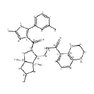 Cc1cccc(-c2sc(C)nc2C(=O)N2C[C@@H]3CC(C)C[C@@H]3[C@H]2CNC(=O)c2cccc3c2OCCO3)c1